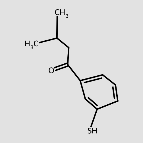 CC(C)CC(=O)c1cccc(S)c1